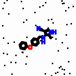 Cc1[nH]cc(C#N)c1NCc1ccc(Oc2ccccc2)cc1